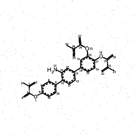 C=C(C)C(=C)Oc1ccc(-c2ccc(-c3ccc(OC(=C)C(=C)C)c(OC(=C)C(=C)C)c3)cc2N)cc1